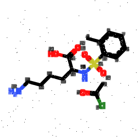 CC(=O)Cl.Cc1ccccc1S(=O)(=O)NC(CCCCN)C(=O)O